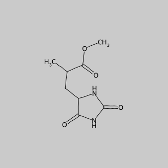 COC(=O)C(C)CC1NC(=O)NC1=O